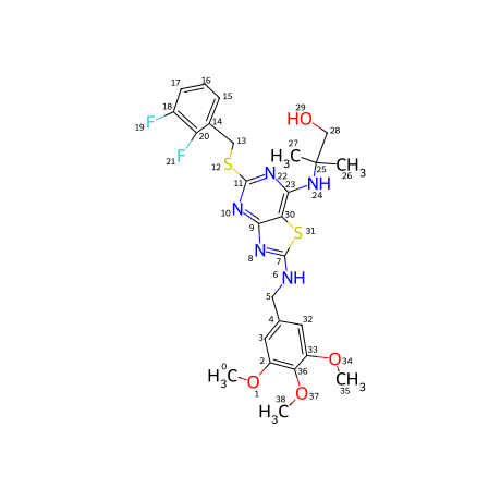 COc1cc(CNc2nc3nc(SCc4cccc(F)c4F)nc(NC(C)(C)CO)c3s2)cc(OC)c1OC